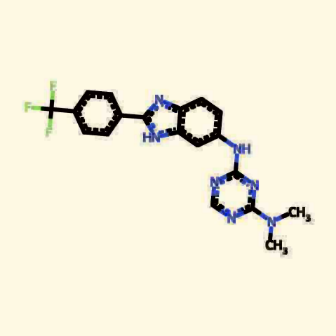 CN(C)c1ncnc(Nc2ccc3nc(-c4ccc(C(F)(F)F)cc4)[nH]c3c2)n1